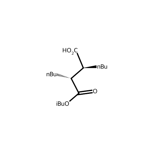 CCCC[C@H](C(=O)O)[C@@H](CCCC)C(=O)OCC(C)C